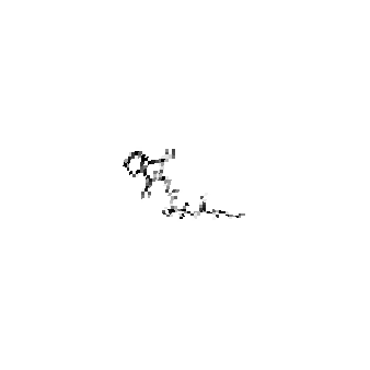 CCCSC(=S)SC(C)(C)C(=O)OCCN1C(=O)C2C3C=CC(C3)C2C1=O